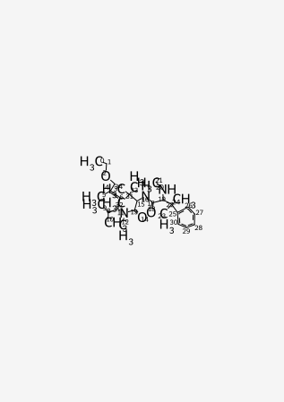 CCOC/C(C)=C/[C@H](C(C)C)N(C)C(=O)C(NC(=O)C(NC)C(C)(C)c1ccccc1)C(C)(C)C